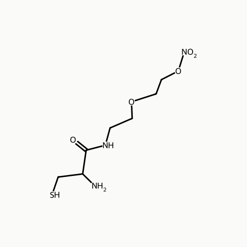 NC(CS)C(=O)NCCOCCO[N+](=O)[O-]